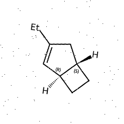 CCC1=C[C@@H]2CC[C@H]2C1